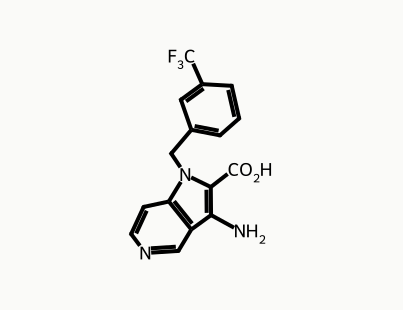 Nc1c(C(=O)O)n(Cc2cccc(C(F)(F)F)c2)c2ccncc12